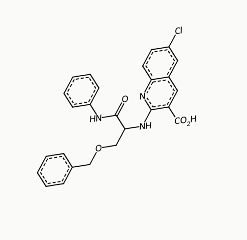 O=C(O)c1cc2cc(Cl)ccc2nc1NC(COCc1ccccc1)C(=O)Nc1ccccc1